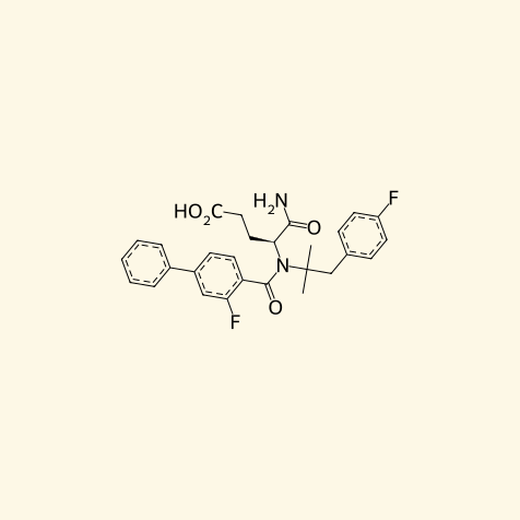 CC(C)(Cc1ccc(F)cc1)N(C(=O)c1ccc(-c2ccccc2)cc1F)[C@@H](CCC(=O)O)C(N)=O